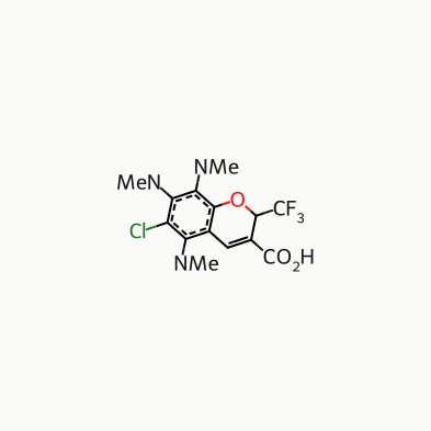 CNc1c(Cl)c(NC)c(NC)c2c1C=C(C(=O)O)C(C(F)(F)F)O2